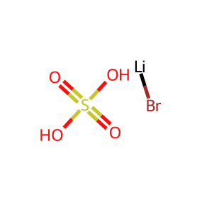 O=S(=O)(O)O.[Li][Br]